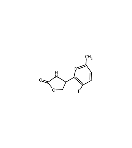 Cc1ccc(F)c(C2COC(=O)N2)n1